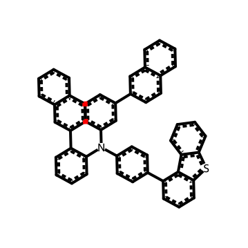 c1cc(-c2ccc3ccccc3c2)cc(N(c2ccc(-c3cccc4sc5ccccc5c34)cc2)c2ccccc2-c2ccc3ccccc3c2)c1